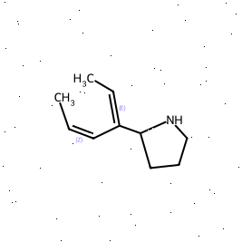 C/C=C\C(=C/C)C1CCCN1